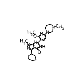 COc1nc(N2CCCN(C)CC2)ccc1-c1nc2c(c(C3CCCCC3)nn2C)c(=O)[nH]1